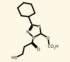 O=C(O)OC1SC(C2CCCCC2)=NN1C(=O)CCS